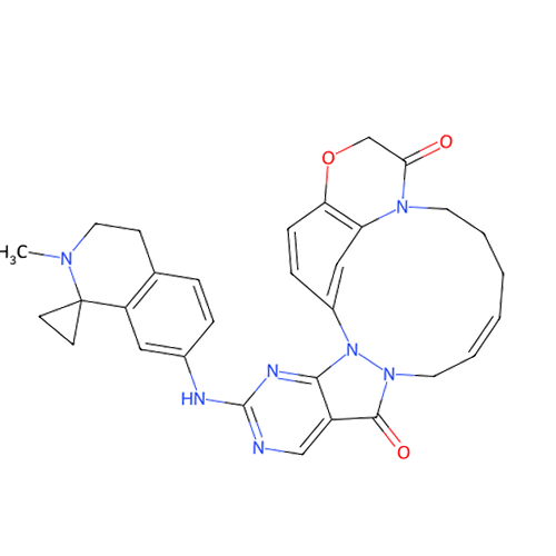 CN1CCc2ccc(Nc3ncc4c(=O)n5n(c4n3)-c3ccc4c(c3)N(CCC/C=C\C5)C(=O)CO4)cc2C12CC2